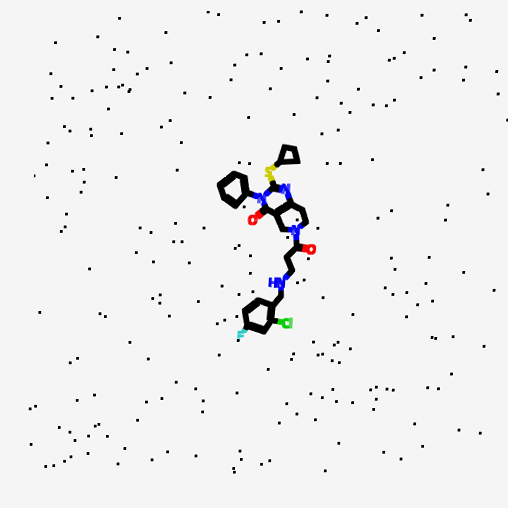 O=C(CCNCc1ccc(F)cc1Cl)N1CCc2nc(SC3CCC3)n(-c3ccccc3)c(=O)c2C1